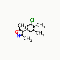 Cc1cc(-c2c(C)noc2C)cc(Cl)c1C